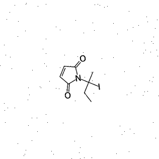 CCC(C)(I)N1C(=O)C=CC1=O